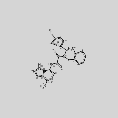 Cc1cccnc1CN(Cc1ccc(F)cc1)C(=O)C(=O)Nc1cnc(N)c2cn[nH]c12